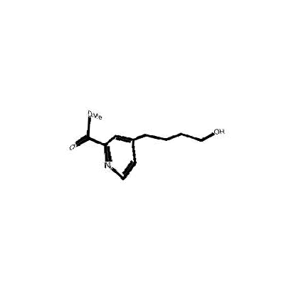 COC(=O)c1cc(CCCCO)ccn1